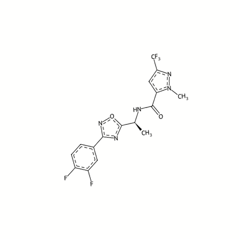 C[C@H](NC(=O)c1cc(C(F)(F)F)nn1C)c1nc(-c2ccc(F)c(F)c2)no1